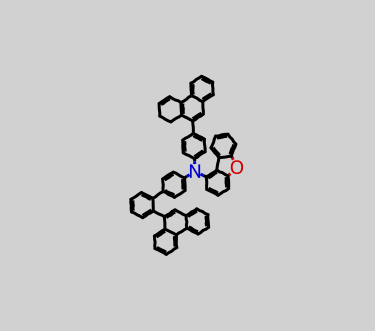 C1=Cc2c(c(-c3ccc(N(c4ccc(-c5ccccc5-c5cc6ccccc6c6ccccc56)cc4)c4cccc5oc6ccccc6c45)cc3)cc3ccccc23)CC1